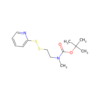 CN(CCSSc1ccccn1)C(=O)OC(C)(C)C